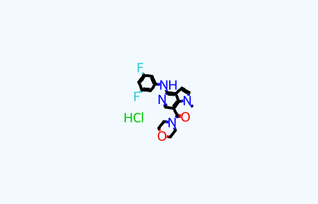 Cl.Cn1ccc2c(Nc3cc(F)cc(F)c3)ncc(C(=O)N3CCOCC3)c21